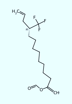 [CH]=C(CCCCCCCC[C@H](CC=C)C(F)(F)F)OC=O